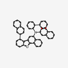 c1ccc(-c2ccccc2N(c2ccc3ccccc3c2)c2cc3c(oc4cccc(-c5ccc6ccccc6c5)c43)c3ccccc23)cc1